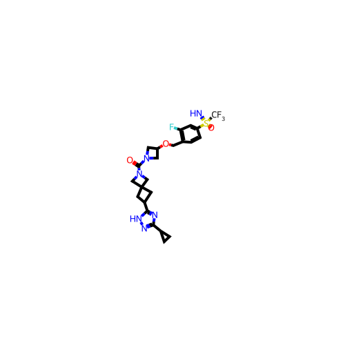 N=S(=O)(c1ccc(COC2CN(C(=O)N3CC4(CC(c5nc(C6CC6)n[nH]5)C4)C3)C2)c(F)c1)C(F)(F)F